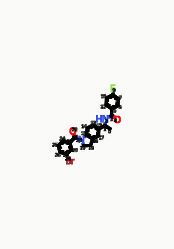 CC(NC(=O)c1ccc(F)cc1)c1ccc2c(c1)CCN2C(=O)c1cccc(Br)c1